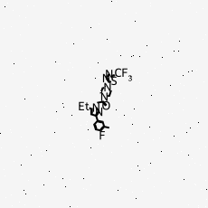 CCc1cc(-c2ccc(F)c(C)c2)nn1CC(=O)N1CCN(c2nnc(C(F)(F)F)s2)CC1